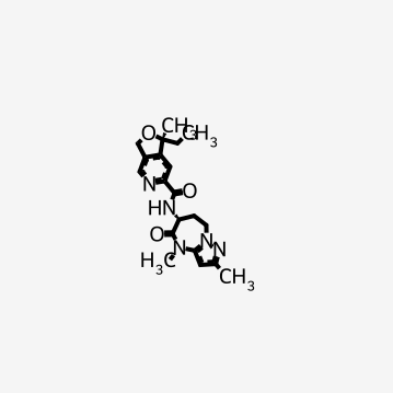 CC[C@@]1(C)OCc2cnc(C(=O)N[C@H]3CCn4nc(C)cc4N(C)C3=O)cc21